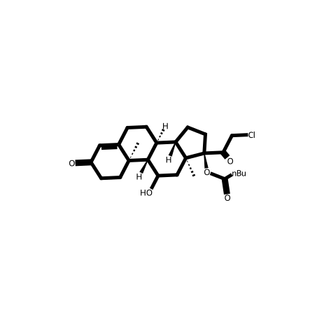 CCCCC(=O)O[C@]1(C(=O)CCl)CC[C@H]2[C@@H]3CCC4=CC(=O)CC[C@]4(C)[C@H]3C(O)C[C@@]21C